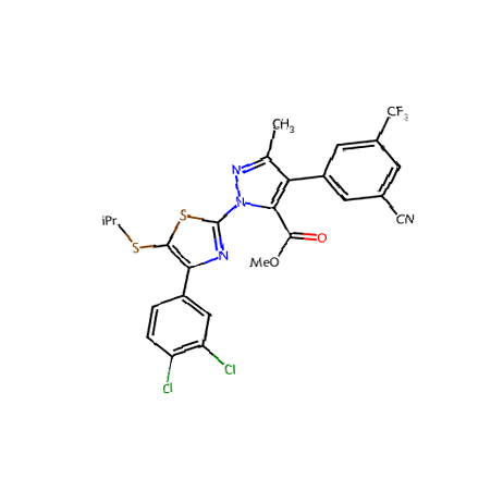 COC(=O)c1c(-c2cc(C#N)cc(C(F)(F)F)c2)c(C)nn1-c1nc(-c2ccc(Cl)c(Cl)c2)c(SC(C)C)s1